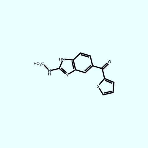 O=C(O)Nc1nc2cc(C(=O)c3cccs3)ccc2[nH]1